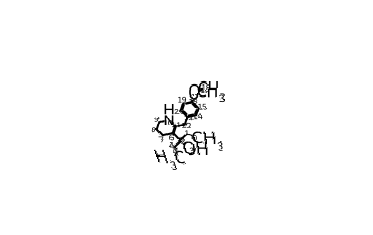 CCC(O)(CC)C1CCCNC1Cc1ccc(OC)cc1